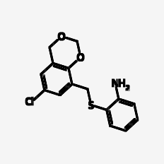 Nc1ccccc1SCc1cc(Cl)cc2c1OCOC2